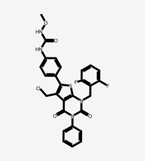 CONC(=O)Nc1ccc(-c2sc3c(c2CCl)c(=O)n(-c2ccccc2)c(=O)n3Cc2c(F)cccc2F)cc1